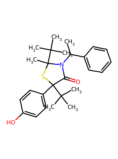 CC(c1ccccc1)N1C(=O)C(c2ccc(O)cc2)(C(C)(C)C)SC1(C)C(C)(C)C